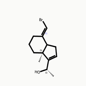 C[C@H](O)C1=CCC2/C(=C/Br)CCC[C@]12C